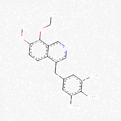 CCOc1ccc2c(Cc3cc(OC)c(OC)c(OC)c3)cncc2c1OCC#N